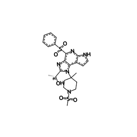 C[C@@H](O)c1nc2c(S(=O)(=O)c3ccccc3)nc3[nH]ccc3c2n1C1(C)CCN(S(C)(=O)=O)CC1